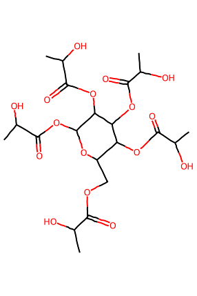 CC(O)C(=O)OCC1OC(OC(=O)C(C)O)C(OC(=O)C(C)O)C(OC(=O)C(C)O)C1OC(=O)C(C)O